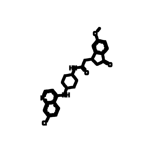 COc1ccc2c(c1)C(CC(=O)NC1CCC(Nc3ccnc4cc(Cl)ccc34)CC1)CC2=O